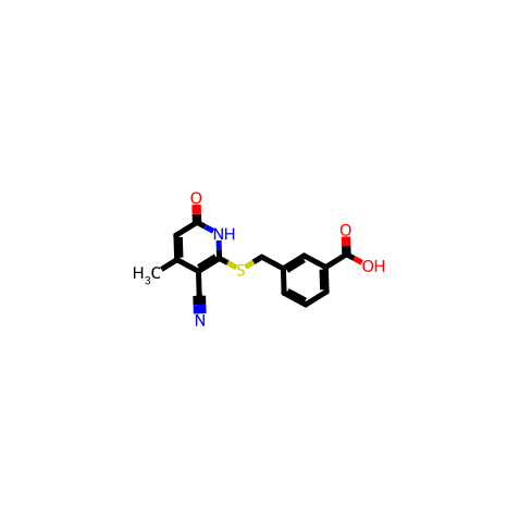 Cc1cc(=O)[nH]c(SCc2cccc(C(=O)O)c2)c1C#N